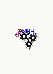 NCc1c(C2c3ccccc3-c3ccccc32)ccc([N+](=O)[O-])c1N